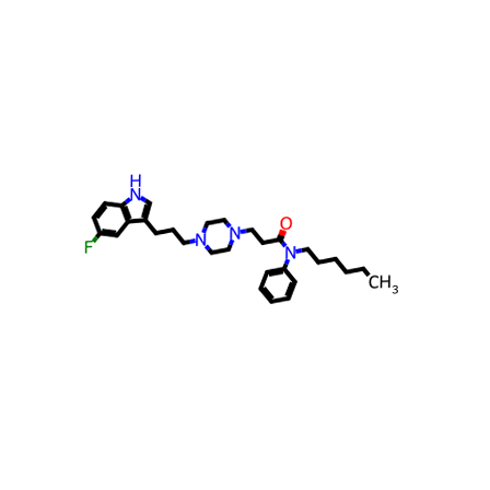 CCCCCCN(C(=O)CCN1CCN(CCCc2c[nH]c3ccc(F)cc23)CC1)c1ccccc1